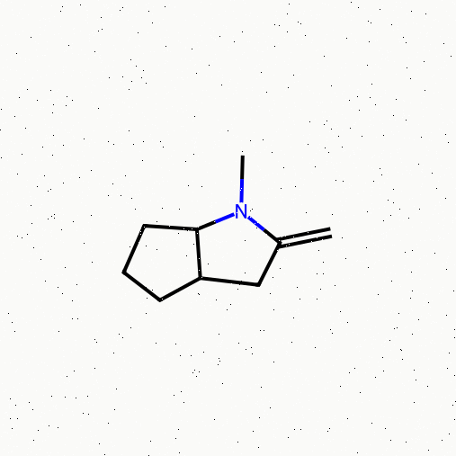 C=C1CC2CCCC2N1C